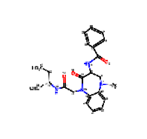 CC(=O)N1CC(NC(=O)c2ccccc2)C(=O)N(CC(=O)N[C@H](C=O)CC(=O)O)c2ccccc21